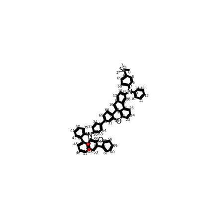 C[Si](C)(C)c1ccc(N(c2ccccc2)c2ccc3cc4c5c(cccc5c3c2)Oc2cc(-c3ccc(N(c5ccccc5-c5ccccc5)c5cccc6c5oc5ccccc56)cc3)ccc2-4)cc1